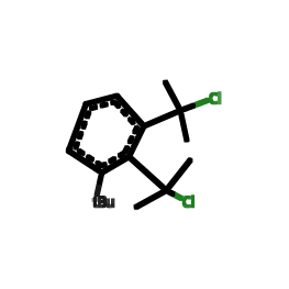 CC(C)(C)c1cccc(C(C)(C)Cl)c1C(C)(C)Cl